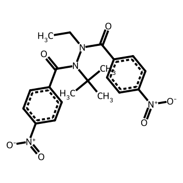 CCN(C(=O)c1ccc([N+](=O)[O-])cc1)N(C(=O)c1ccc([N+](=O)[O-])cc1)C(C)(C)C